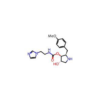 COc1ccc(C[C@H]2NC[C@H](O)[C@H]2OC(=O)NCCn2ccnc2)cc1